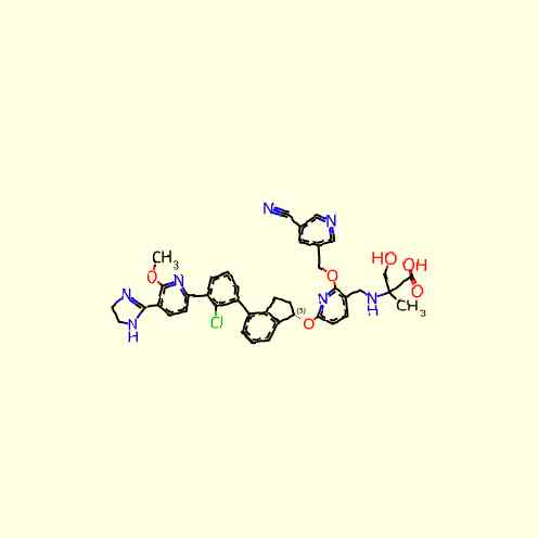 COc1nc(-c2cccc(-c3cccc4c3CC[C@@H]4Oc3ccc(CNC(C)(CO)C(=O)O)c(OCc4cncc(C#N)c4)n3)c2Cl)ccc1C1=NCCN1